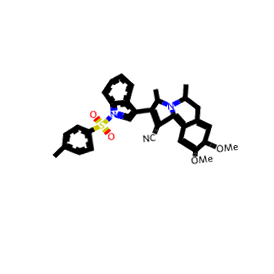 COC1=CC2=C3C(C#N)=C(c4cn(S(=O)(=O)c5ccc(C)cc5)c5ccccc45)C(C)N3C(C)CC2=CC1OC